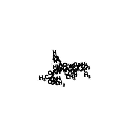 CC(=O)N[C@H](C(=O)NCC(=O)N[C@@H](Cc1c[nH]cn1)C(=O)N[C@@H](CC(C)C)[C@@H](O)CC(=O)N[C@@H](CC(C)C)C(N)=O)C(C)C